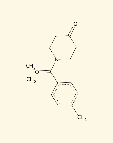 C=C.Cc1ccc(C(=O)N2CCC(=O)CC2)cc1